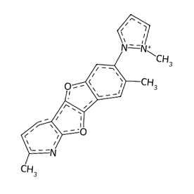 Cc1ccc2c(n1)oc1c3cc(C)c(-n4ccc[n+]4C)cc3oc21